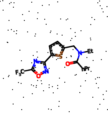 CCCC(=O)N(CC)Cc1ccc(-c2noc(C(F)(F)F)n2)s1